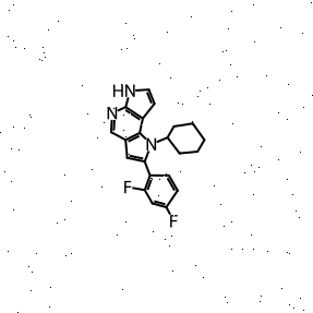 Fc1ccc(-c2cc3cnc4[nH]ccc4c3n2C2CCCCC2)c(F)c1